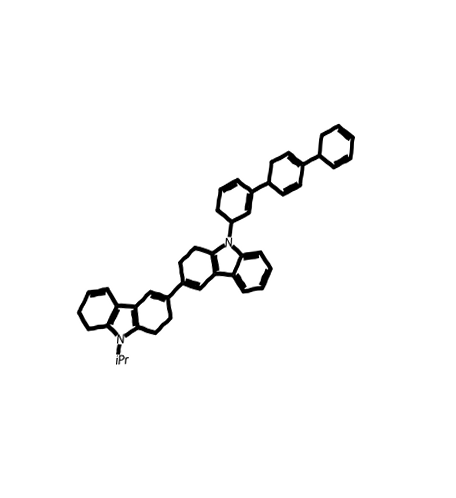 CC(C)n1c2c(c3c1CCC(C1=Cc4c(n(C5C=C(C6C=CC(C7C=CC=CC7)=CC6)C=CC5)c5ccccc45)CC1)=C3)C=CCC2